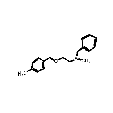 Cc1ccc(COCCN(C)Cc2ccccc2)cc1